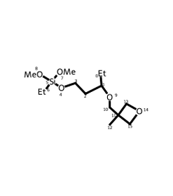 CCC(CCO[Si](CC)(OC)OC)OCC1(C)COC1